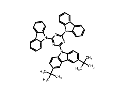 CC(C)(C)c1ccc2c(c1)c1cc(C(C)(C)C)ccc1n2-c1nc(-n2c3ccccc3c3ccccc32)nc(-n2c3ccccc3c3ccccc32)n1